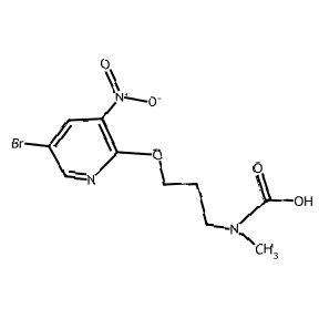 CN(CCCOc1ncc(Br)cc1[N+](=O)[O-])C(=O)O